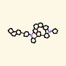 c1ccc(-n2c3ccccc3c3c(-c4cccc(-c5ccccc5N(c5ccc(-c6ccc7c(ccc8ccccc87)c6)cc5)c5ccc6c(ccc7ccccc76)c5)c4)cccc32)cc1